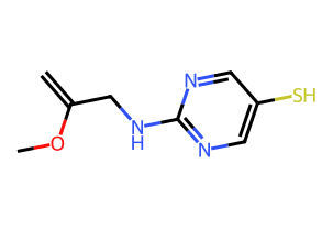 C=C(CNc1ncc(S)cn1)OC